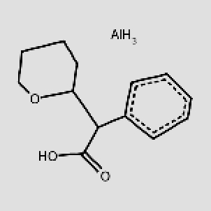 O=C(O)C(c1ccccc1)C1CCCCO1.[AlH3]